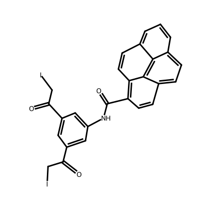 O=C(CI)c1cc(NC(=O)c2ccc3ccc4cccc5ccc2c3c45)cc(C(=O)CI)c1